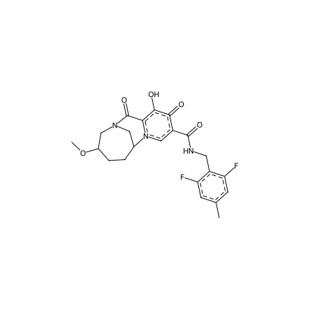 COC1CCC2CN(C1)C(=O)c1c(O)c(=O)c(C(=O)NCc3c(F)cc(C)cc3F)cn12